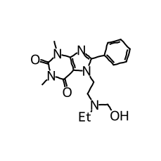 CCN(CO)CCn1c(-c2ccccc2)nc2c1c(=O)n(C)c(=O)n2C